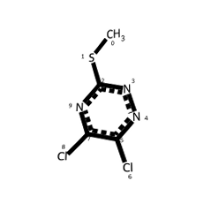 CSc1nnc(Cl)c(Cl)n1